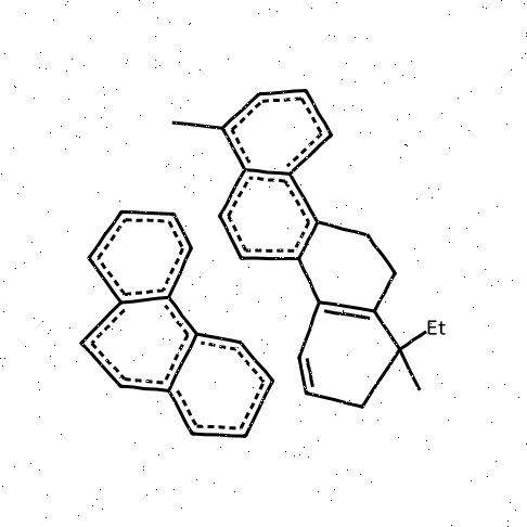 CCC1(C)CC=CC2=C1CCc1c2ccc2c(C)cccc12.c1ccc2c(c1)ccc1ccccc12